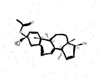 CC(=O)O[C@]1(O)C=C[C@@]2(C)C(=CC=C3[C@@H]4C=C[C@H](O)[C@@]4(C)CC[C@@H]32)C1